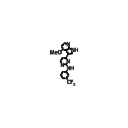 COc1ccnc2[nH]cc(-c3ccnc(Nc4cccc(C(F)(F)F)c4)n3)c12